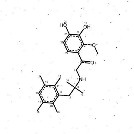 COc1c(C(=O)CNC(C)(C)Cc2c(C)c(C)cc(C)c2C)ccc(O)c1O